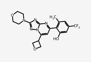 Cc1cc(C(F)(F)F)cc(O)c1-c1cc(C2COC2)n2nc(N3CCOCC3)nc2n1